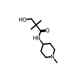 CN1CCC(NC(=O)C(C)(C)CO)CC1